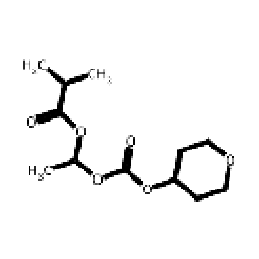 CC(OC(=O)OC1CCOCC1)OC(=O)C(C)C